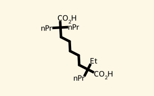 CCCC(CC)(CCCCCC(CCC)(CCC)C(=O)O)C(=O)O